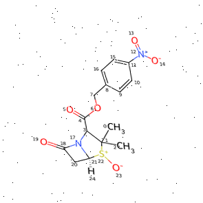 CC1(C)C(C(=O)OCc2ccc([N+](=O)[O-])cc2)N2C(=O)C[C@@H]2[S+]1[O-]